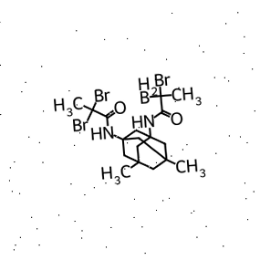 BC(C)(Br)C(=O)NC12CC3(C)CC(C)(C1)CC(NC(=O)C(C)(Br)Br)(C3)C2